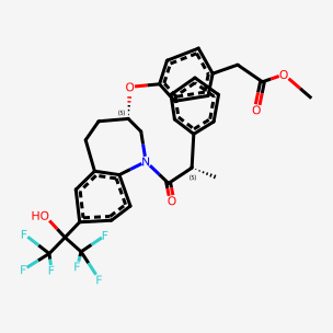 COC(=O)Cc1ccc(O[C@H]2CCc3cc(C(O)(C(F)(F)F)C(F)(F)F)ccc3N(C(=O)[C@@H](C)c3ccccc3)C2)cc1